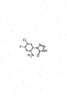 Nc1cc(F)c(Cl)cc1-n1nn[nH]c1=O